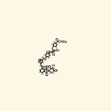 CCCN(Cc1ccc(C(=O)OC)cc1)C(=O)Nc1ccc(OCn2cc(CNc3cccc4c3C(=O)N(C3CCC(=O)NC3=O)C4=O)nn2)cc1